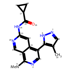 CNc1ncc(-c2[nH]ncc2C)c2cc(NC(=O)C3CC3)ncc12